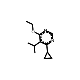 CCOc1ncnc(C2CC2)c1C(C)C